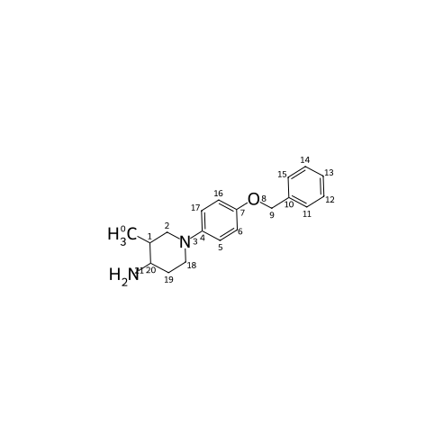 CC1CN(c2ccc(OCc3ccccc3)cc2)CCC1N